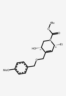 CC[C@@H]1C=C(COCc2ccc(OC)cc2)[C@H](O)CN1C(=O)OC(C)(C)C